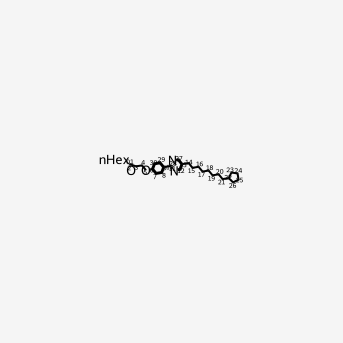 CCCCCCC1OC1COc1ccc(-c2ncc(CCCCCCCCC3CCCC3)cn2)cc1